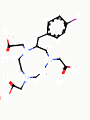 O=C(O)CN1CCN(CC(=O)O)CC(Cc2ccc(I)cc2)N(CC(=O)O)CC1